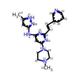 Cc1cc(Nc2cc(N3CCN(C)CC3)nc(/C=C/c3cccnc3)n2)n[nH]1